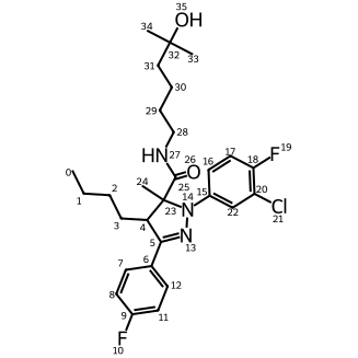 CCCCC1C(c2ccc(F)cc2)=NN(c2ccc(F)c(Cl)c2)C1(C)C(=O)NCCCCC(C)(C)O